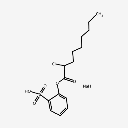 CCCCCCCC(Cl)C(=O)Oc1ccccc1S(=O)(=O)O.[NaH]